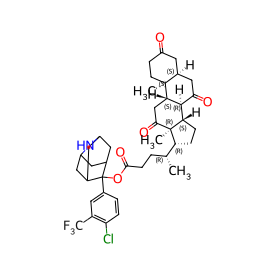 C[C@H](CCC(=O)OC1(c2ccc(Cl)c(C(F)(F)F)c2)C2CC3CC1CC(C2)N3)[C@H]1CC[C@H]2[C@@H]3C(=O)C[C@@H]4CC(=O)CC[C@]4(C)[C@H]3CC(=O)[C@]12C